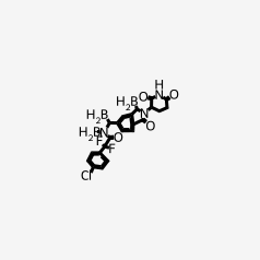 BC(c1ccc2c(c1)C(B)N(C1CCC(=O)NC1=O)C2=O)N(B)C(=O)C(F)(F)c1ccc(Cl)cc1